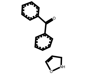 C1=CONC1.O=C(c1ccccc1)c1ccccc1